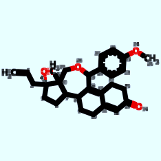 C=CC[C@]1(O)CCC2C3CCC4=CC(=O)CCC4=C3C(c3ccc(OC)cc3)OCC21C